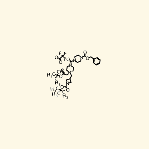 CC(C)(C)OC(=O)C[N+]1(CC2CN(C(=O)OC(C)(C)C)C2)CCN(C(=O)N2CCN(C(=O)OCc3ccccc3)CC2)CC1.O=C([O-])C(F)(F)F